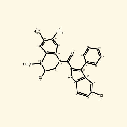 CCC1CN(C(=O)c2[nH]c3ccc(Cl)cc3c2-c2ccccc2)c2cc(C)c(C)cc2N1C(=O)O